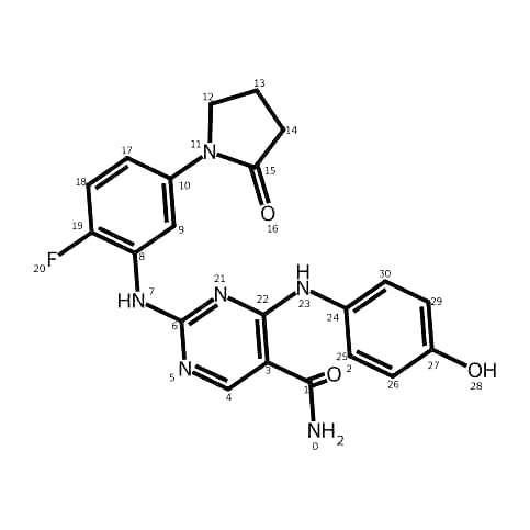 NC(=O)c1cnc(Nc2cc(N3CCCC3=O)ccc2F)nc1Nc1ccc(O)cc1